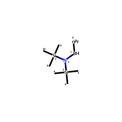 C[CH]CBN([Si](C)(C)C)[Si](C)(C)C